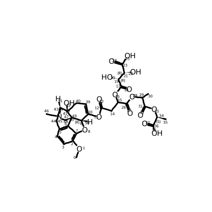 COc1ccc2c3c1O[C@H]1C(OC(=O)CC(OC(=O)[C@H](O)[C@@H](O)C(=O)O)C(=O)OC(C)C(=O)O[C@@H](C)C(=O)O)=CC[C@@]4(O)[C@@H](C2)N(C)CC[C@]314